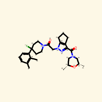 Cc1cccc(C2(F)CCN(C(=O)Cn3nc(C(=O)N4C[C@@H](C)O[C@@H](C)C4)c4c3CCC4)CC2)c1C